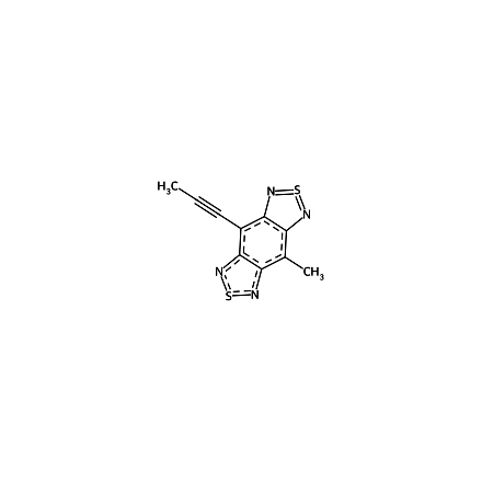 CC#Cc1c2c(c(C)c3nsnc13)N=S=N2